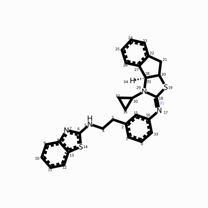 c1cc(CCNc2nc3ccccc3s2)cc(/N=C2/SC3Cc4ccccc4[C@@H]3N2C2CC2)c1